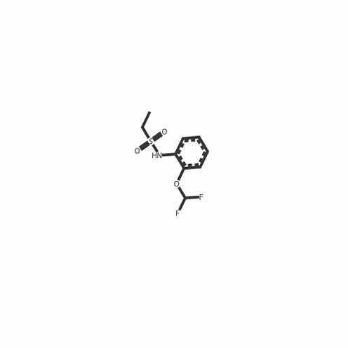 CCS(=O)(=O)Nc1ccccc1OC(F)F